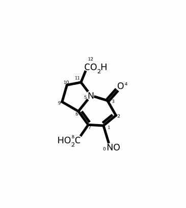 O=Nc1cc(=O)n2c(c1C(=O)O)CCC2C(=O)O